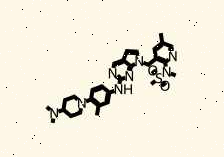 Cc1cnc(N(C)S(C)(=O)=O)c(Cn2ccc3cnc(Nc4ccc(N5CCC(N(C)C)CC5)c(C)c4)nc32)c1